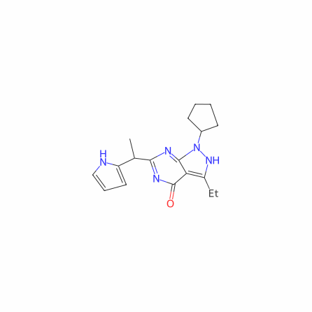 CCc1[nH]n(C2CCCC2)c2nc(C(C)c3ccc[nH]3)nc(=O)c1-2